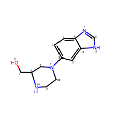 OCC1CN(c2ccc3nc[nH]c3c2)CCN1